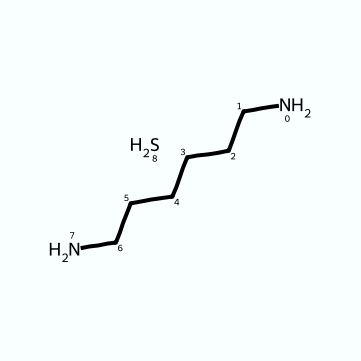 NCCCCCCN.S